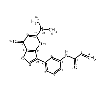 C=CC(=O)Nc1cccc(-c2csc3c(=O)cc(N(C)C)oc23)c1